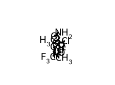 Cc1oc2c(-n3c(=O)cc(C(F)(F)F)n(C)c3=O)c(F)cc(Cl)c2c1CC(N)=O